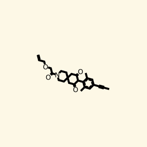 C=CCOCC(=O)N1CCC2(CC1)CC(=O)C(c1c(C)cc(C#CC)cc1C)C(=O)C2